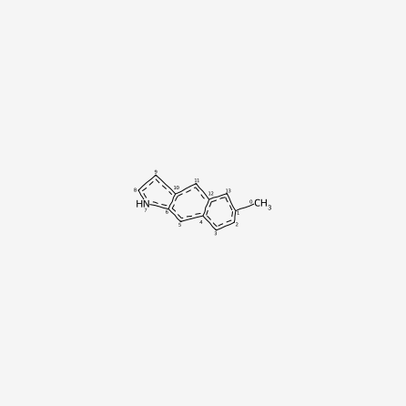 Cc1ccc2cc3[nH]ccc3cc2c1